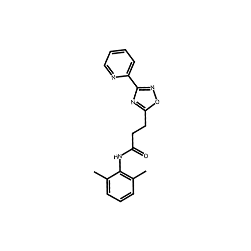 Cc1cccc(C)c1NC(=O)CCc1nc(-c2ccccn2)no1